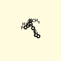 Cc1noc(C)c1CN(C(=O)Cc1ccc(F)cc1F)c1ccc(OCc2ccc3ccccc3n2)cc1